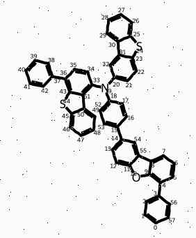 c1ccc(-c2cccc3c2oc2ccc(-c4ccc(N(c5ccc6sc7ccccc7c6c5)c5ccc(-c6ccccc6)c6sc7ccccc7c56)cc4)cc23)cc1